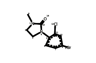 CN1CCN(c2ccc(Br)cc2Cl)C1=O